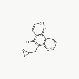 C/C=C\n1c(=O)n(/C=C\C)c(=O)n(CC2CO2)c1=O